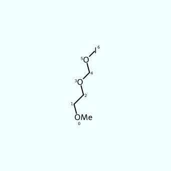 COCCOCOI